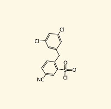 N#Cc1ccc(Cc2cc(Cl)cc(Cl)c2)c(S(=O)(=O)Cl)c1